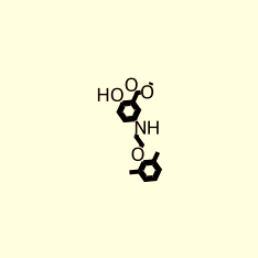 COC(=O)c1cc(NCCOc2c(C)cccc2C)ccc1O